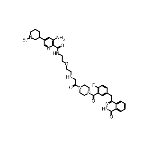 CCN1CCCC(c2cnc(C(=O)NCCOCCNCC(=O)N3CCN(C(=O)c4cc(Cc5n[nH]c(=O)c6ccccc56)ccc4F)CC3)c(N)c2)C1